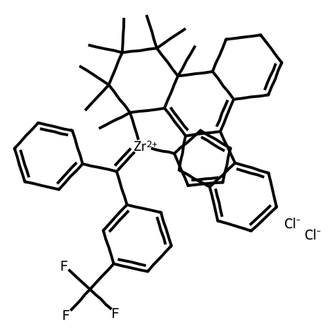 CC12C(=C3Cc4ccccc4C3=C3C=CCCC31)[C](C)([Zr+2](=[C](c1ccccc1)c1cccc(C(F)(F)F)c1)[CH]1C=CC=C1)C(C)(C)C(C)(C)C2(C)C.[Cl-].[Cl-]